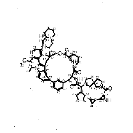 CCn1c(-c2cc(N3CCN4CCCC[C@@H]4C3)cnc2[C@H](C)OC)c2c3cc(ccc31)-c1cccc(c1)C[C@H](NC(=O)C(C1CCCC1)N1CC[C@]3(CCN(C(=O)[C@@H]4NC4C4CC4)C3)C1)C(=O)N1CCC[C@H](N1)C(=O)OCC(C)(C)C2